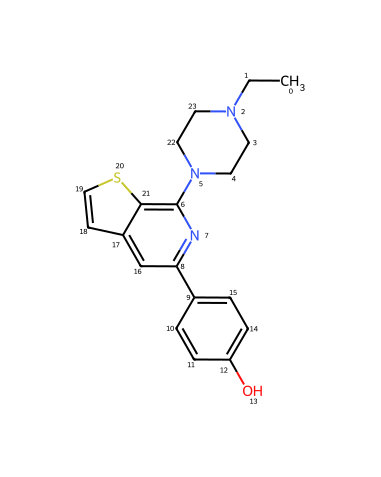 CCN1CCN(c2nc(-c3ccc(O)cc3)cc3ccsc23)CC1